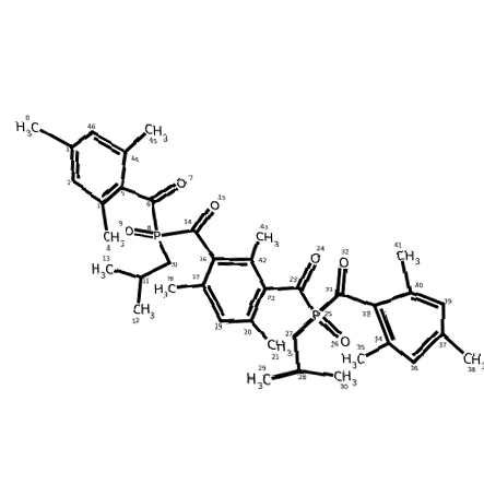 Cc1cc(C)c(C(=O)P(=O)(CC(C)C)C(=O)c2c(C)cc(C)c(C(=O)P(=O)(CC(C)C)C(=O)c3c(C)cc(C)cc3C)c2C)c(C)c1